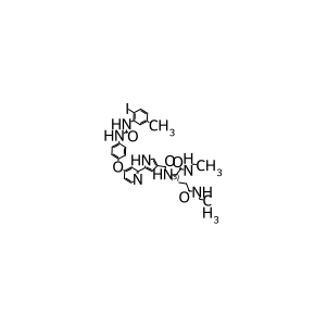 CCNC(=O)CC[C@H](NC(=O)c1c[nH]c(-c2cc(Oc3ccc(NC(=O)Nc4cc(C)ccc4I)cc3)ccn2)c1)C(=O)NCC